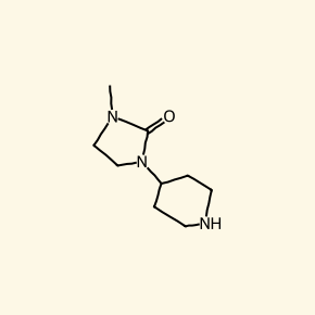 CN1CCN(C2CCNCC2)C1=O